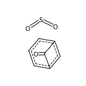 O=C1c2cccc1c2.O=S=O